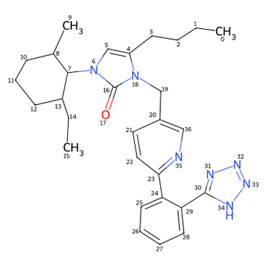 CCCCc1cn(C2C(C)CCCC2CC)c(=O)n1Cc1ccc(-c2ccccc2-c2nnn[nH]2)nc1